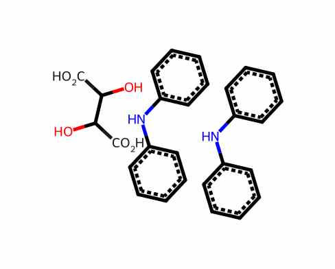 O=C(O)C(O)C(O)C(=O)O.c1ccc(Nc2ccccc2)cc1.c1ccc(Nc2ccccc2)cc1